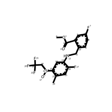 COC(=O)c1cc(F)ccc1CNc1cc([S+]([O-])CC(F)(F)F)c(C)cc1F